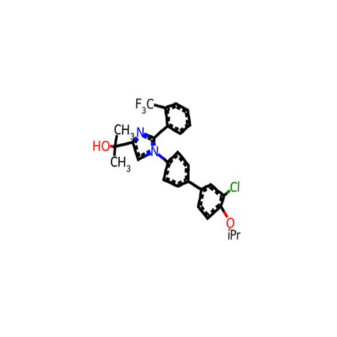 CC(C)Oc1ccc(-c2ccc(-n3cc(C(C)(C)O)nc3-c3ccccc3C(F)(F)F)cc2)cc1Cl